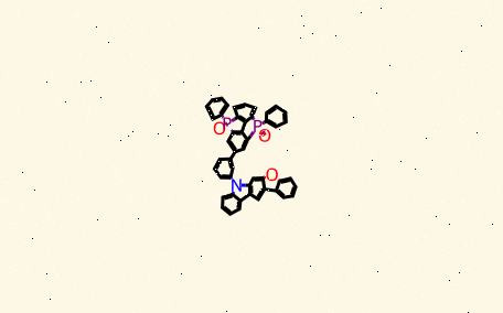 O=P1(c2ccccc2)c2cccc3c2-c2c1cc(-c1cccc(-n4c5ccccc5c5cc6c(cc54)oc4ccccc46)c1)cc2P3(=O)c1ccccc1